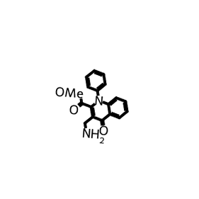 COC(=O)c1c(CN)c(=O)c2ccccc2n1-c1ccccc1